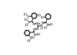 CCOc1ccccc1C(=NN=C(NN=C(c1ccccc1OCC)N(CC)CC)NN=C(c1ccccc1OCC)N(CC)CC)N(CC)CC